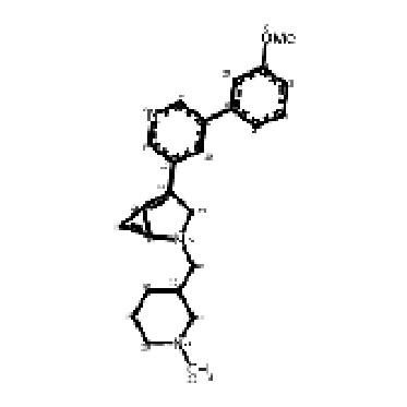 COc1cccc(-c2cncc(C3=C4C=C4N(CC4CCCN(C)C4)C3)c2)c1